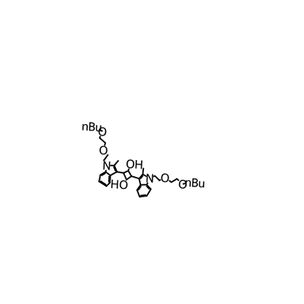 CCCCOCCOCCn1c(C)c(C2C(O)C(c3c(C)n(CCOCCOCCCC)c4ccccc34)C2O)c2ccccc21